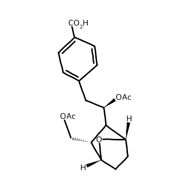 CC(=O)OC[C@@H]1C([C@@H](Cc2ccc(C(=O)O)cc2)OC(C)=O)[C@@H]2CC[C@H]1O2